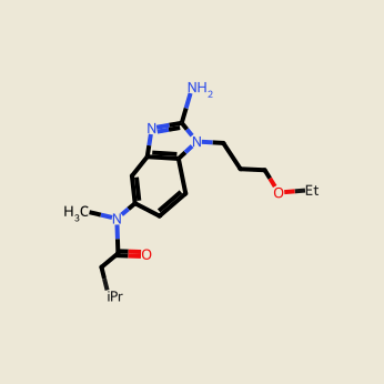 CCOCCCn1c(N)nc2cc(N(C)C(=O)CC(C)C)ccc21